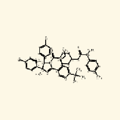 CCOc1cc(C(C)(C)C)ncc1C1=N[C@@](C)(c2ccc(Cl)cc2)[C@@](C)(c2ccc(Cl)cc2)N1C(=O)N1CCC(CC(=O)N(C)c2ccc(C)cc2)CC1